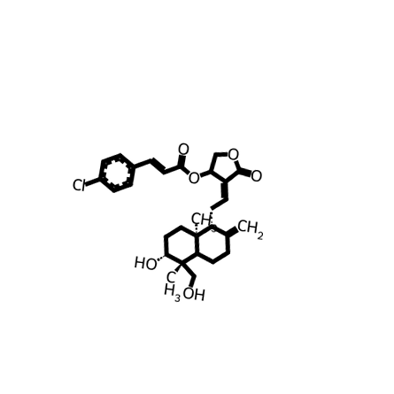 C=C1CCC2[C@](C)(CO)[C@H](O)CC[C@@]2(C)[C@@H]1C/C=C1/C(=O)OCC1OC(=O)/C=C/c1ccc(Cl)cc1